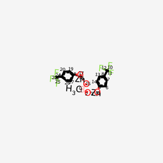 CB([O][Zn][O]c1ccc(C(F)(F)F)cc1)[O][Zn][O]c1ccc(C(F)(F)F)cc1